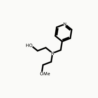 COCCN(CCO)Cc1ccncc1